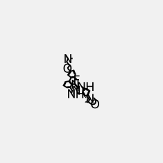 CN(C)CCOc1ccc(F)c(-c2cccc3c(N)nc(Nc4ccc(N5CCOCC5)cc4)nc23)c1